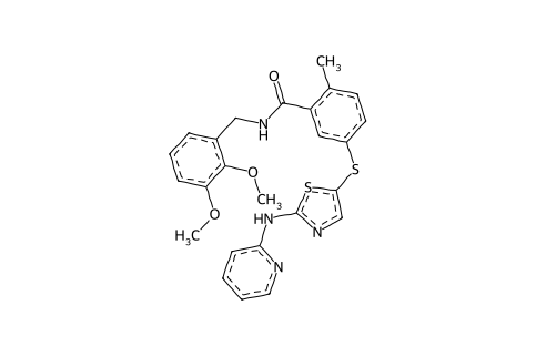 COc1cccc(CNC(=O)c2cc(Sc3cnc(Nc4ccccn4)s3)ccc2C)c1OC